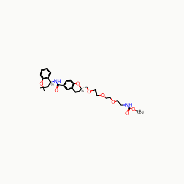 CC(C)(C)OC(=O)NCCOCCOCCOC[C@@H]1CCc2cc(C(=O)N[C@H]3CC(C)(C)Oc4ccccc43)ccc2O1